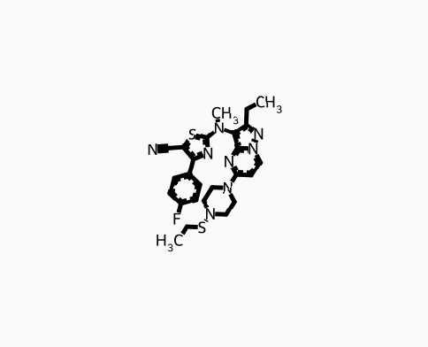 CCSN1CCN(c2ccn3nc(CC)c(N(C)c4nc(-c5ccc(F)cc5)c(C#N)s4)c3n2)CC1